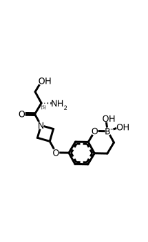 N[C@@H](CO)C(=O)N1CC(Oc2ccc3c(c2)O[B-](O)(O)CC3)C1